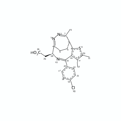 CC1=NN=C2CCC1c1sc(C)c(C)c1/C(c1ccc(Cl)cc1)=N\[C@H]2CC(=O)O